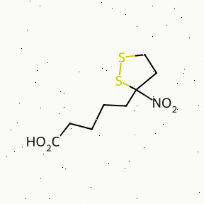 O=C(O)CCCCC1([N+](=O)[O-])CCSS1